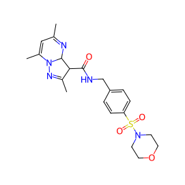 CC1=CC(C)=NC2C(C(=O)NCc3ccc(S(=O)(=O)N4CCOCC4)cc3)C(C)=NN12